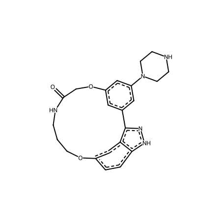 O=C1COc2cc(cc(N3CCNCC3)c2)-c2n[nH]c3ccc(cc23)OCCCN1